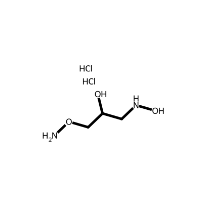 Cl.Cl.NOCC(O)CNO